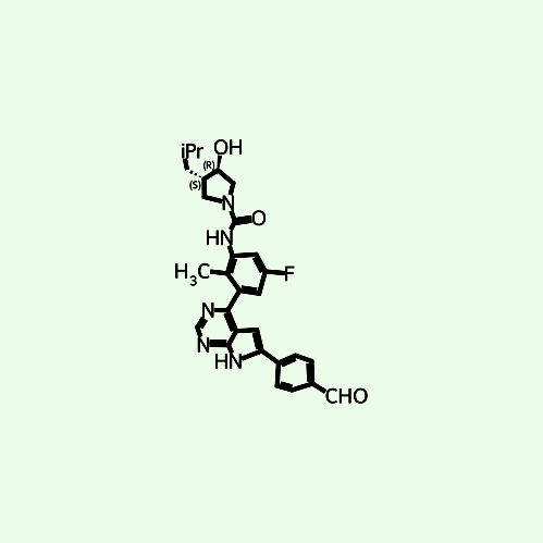 Cc1c(NC(=O)N2C[C@H](CC(C)C)[C@@H](O)C2)cc(F)cc1-c1ncnc2[nH]c(-c3ccc(C=O)cc3)cc12